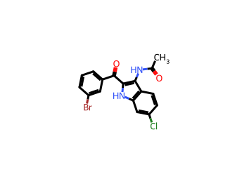 CC(=O)Nc1c(C(=O)c2cccc(Br)c2)[nH]c2cc(Cl)ccc12